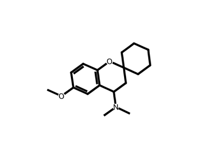 COc1ccc2c(c1)C(N(C)C)CC1(CCCCC1)O2